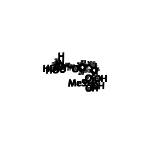 CS[C@H]1O[C@@H](c2ccc(C)c(Cc3ccc(OCCCC(=O)NC(C)(CO)CO)cc3)c2)[C@H](O)[C@@H](O)[C@@H]1O